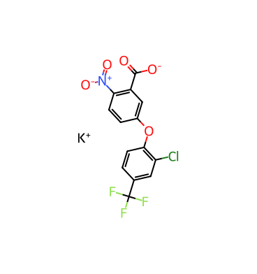 O=C([O-])c1cc(Oc2ccc(C(F)(F)F)cc2Cl)ccc1[N+](=O)[O-].[K+]